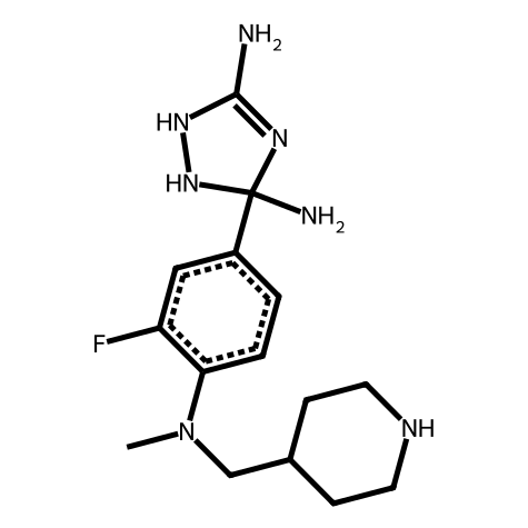 CN(CC1CCNCC1)c1ccc(C2(N)N=C(N)NN2)cc1F